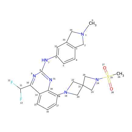 CN1Cc2ccc(Nc3nc(C(F)F)c4cccc(N5CC6(C5)CN(S(C)(=O)=O)C6)c4n3)cc2C1